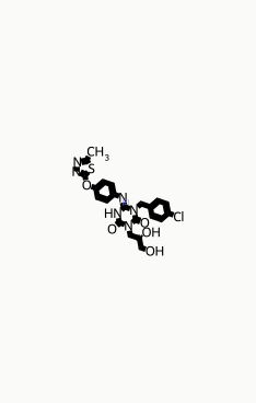 Cc1nnc(Oc2ccc(/N=c3\[nH]c(=O)n(C[C@H](O)CO)c(=O)n3Cc3ccc(Cl)cc3)cc2)s1